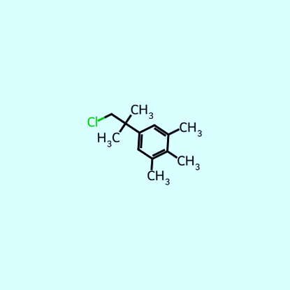 Cc1cc(C(C)(C)CCl)cc(C)c1C